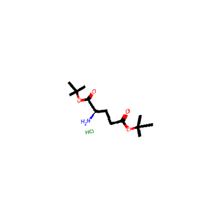 CC(C)(C)OC(=O)CC[C@@H](N)C(=O)OC(C)(C)C.Cl